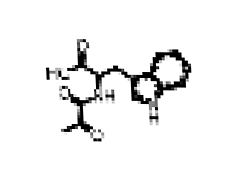 CC(=O)C(=O)NC(Cc1c[nH]c2ccccc12)C(=O)O